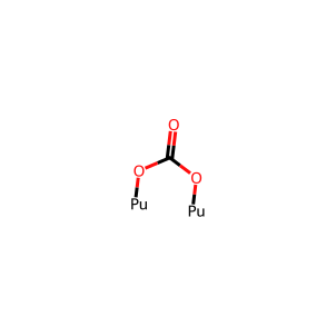 O=C([O][Pu])[O][Pu]